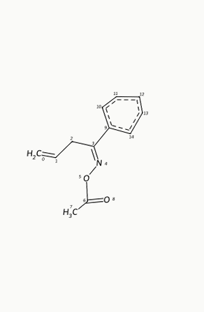 C=CCC(=NOC(C)=O)c1ccccc1